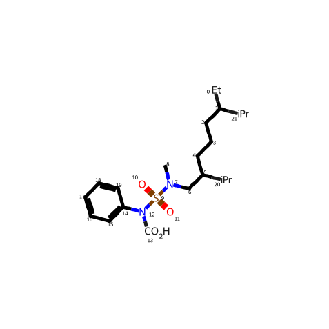 CCC(CCCC(CN(C)S(=O)(=O)N(C(=O)O)c1ccccc1)C(C)C)C(C)C